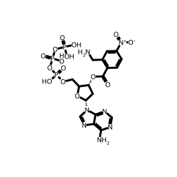 NCc1cc([N+](=O)[O-])ccc1C(=O)O[C@@H]1C[C@H](n2cnc3c(N)ncnc32)OC1COP(=O)(O)OP(=O)(O)OP(=O)(O)O